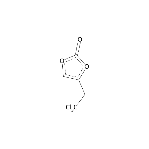 O=c1occ(CC(Cl)(Cl)Cl)o1